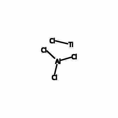 [Cl][Al]([Cl])[Cl].[Cl][Ti]